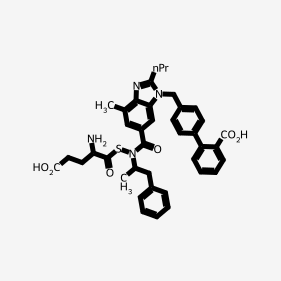 CCCc1nc2c(C)cc(C(=O)N(SC(=O)C(N)CCC(=O)O)C(C)Cc3ccccc3)cc2n1Cc1ccc(-c2ccccc2C(=O)O)cc1